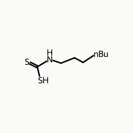 [CH2]CCCCCCNC(=S)S